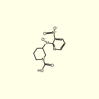 O=C(O)N1CCCC([S+]([O-])c2ncccc2[N+](=O)[O-])C1